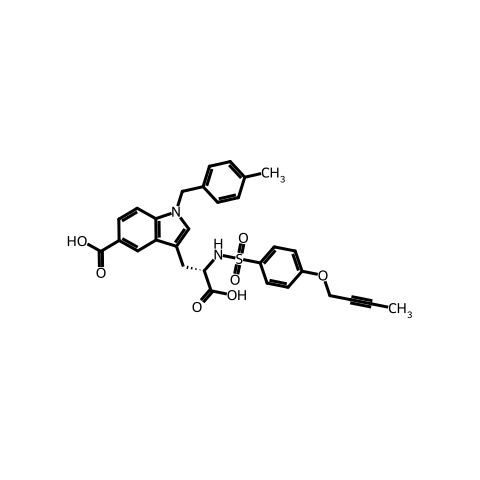 CC#CCOc1ccc(S(=O)(=O)N[C@@H](Cc2cn(Cc3ccc(C)cc3)c3ccc(C(=O)O)cc23)C(=O)O)cc1